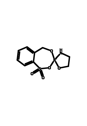 O=S1(=O)O[B-]2(NCCO2)OCc2ccccc21